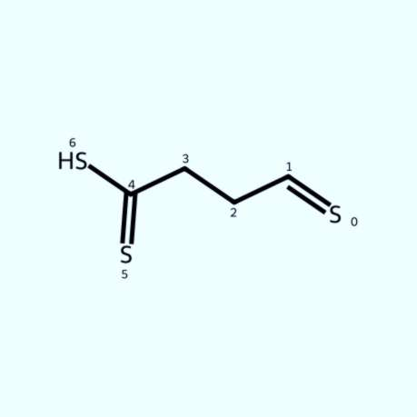 S=CCCC(=S)S